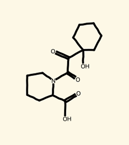 O=C(O)C1CCCCN1C(=O)C(=O)C1(O)CCCCC1